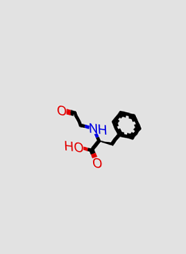 O=CCN[C@@H](Cc1ccccc1)C(=O)O